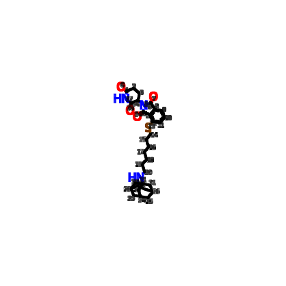 O=C1CCC(N2C(=O)c3cccc(SCCCCCCCNC45CC6CC(CC(C6)C4)C5)c3C2=O)C(=O)N1